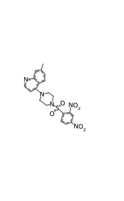 Cc1ccc2c(N3CCN(S(=O)(=O)c4ccc([N+](=O)[O-])cc4[N+](=O)[O-])CC3)ccnc2c1